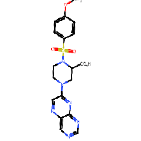 O=C(O)C1CN(c2cnc3cncnc3n2)CCN1S(=O)(=O)c1ccc(OC(F)(F)F)cc1